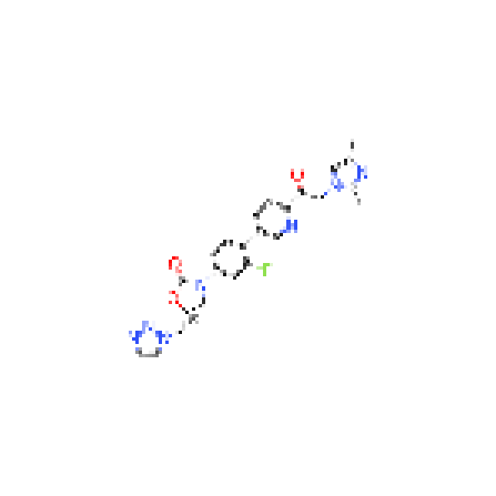 Cc1cn(CC(=O)c2ccc(-c3ccc(N4C[C@H](Cn5ccnn5)OC4=O)cc3F)cn2)c(C)n1